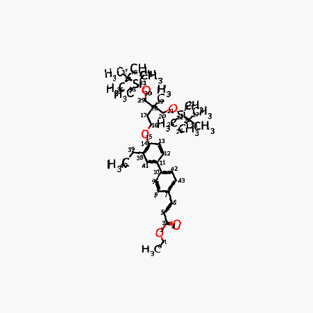 CCOC(=O)/C=C/c1ccc(-c2ccc(OCCC(C)(CO[Si](C)(C)C(C)(C)C)CO[Si](C)(C)C(C)(C)C)c(CC)c2)cc1